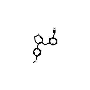 COc1ccc(C2=C(Cc3cccc(C#N)c3)C=NCC2)cc1